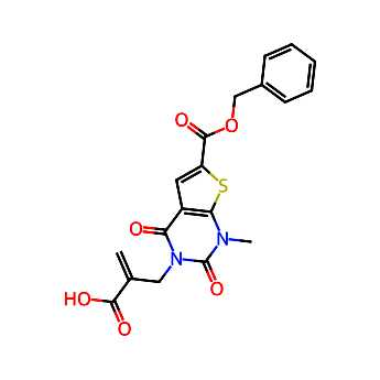 C=C(Cn1c(=O)c2cc(C(=O)OCc3ccccc3)sc2n(C)c1=O)C(=O)O